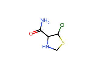 NC(=O)C1NCSC1Cl